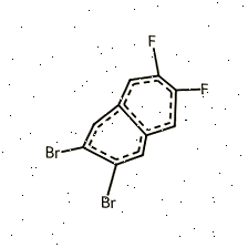 Fc1cc2cc(Br)c(Br)cc2cc1F